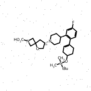 CC(C)(C)[Si](C)(C)OC1CC=C(c2ccc(F)cc2C2CCN([C@@H]3COC4(C3)CN(C(=O)O)C4)CC2)CC1